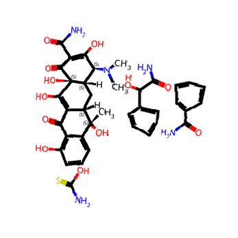 CN(C)[C@@H]1C(O)=C(C(N)=O)C(=O)[C@@]2(O)C(O)=C3C(=O)c4c(O)cccc4[C@@](C)(O)[C@H]3C[C@@H]12.NC(=O)C(O)c1ccccc1.NC(=O)c1ccccc1.NC(O)=S